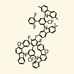 Cc1ccc2c3ccc(C)cc3n(-c3cc(-c4c(F)cccc4F)cc(-n4c5cc(C)ccc5c5ccc(Cc6c(F)cc(-c7cc(-n8c9ccccc9c9ccc%10oc%11ccccc%11c%10c98)c(C(F)(F)F)c(-n8c9ccccc9c9ccc%10oc%11ccccc%11c%10c98)c7)cc6F)cc54)c3C(F)(F)F)c2c1